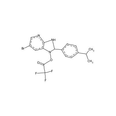 CC(C)c1ccc(C2Nc3ncc(Br)cc3N2OC(=O)C(F)(F)F)cc1